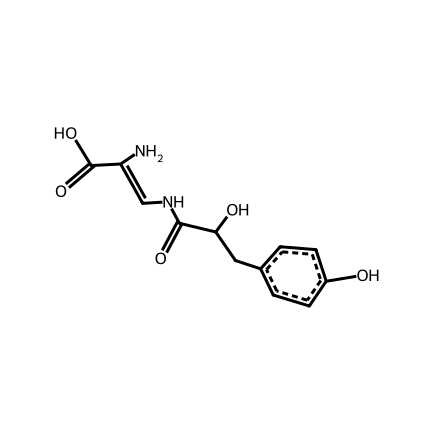 NC(=CNC(=O)C(O)Cc1ccc(O)cc1)C(=O)O